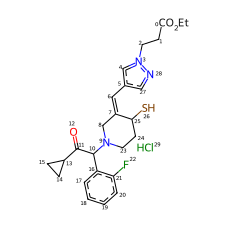 CCOC(=O)CCn1cc(C=C2CN(C(C(=O)C3CC3)c3ccccc3F)CCC2S)cn1.Cl